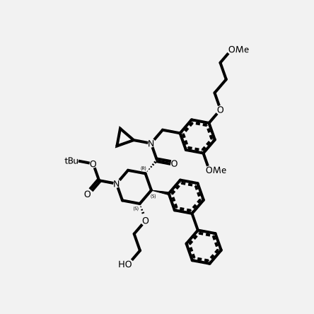 COCCCOc1cc(CN(C(=O)[C@H]2CN(C(=O)OC(C)(C)C)C[C@@H](OCCO)[C@@H]2c2cccc(-c3ccccc3)c2)C2CC2)cc(OC)c1